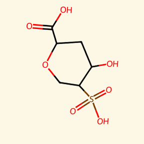 O=C(O)C1CC(O)C(S(=O)(=O)O)CO1